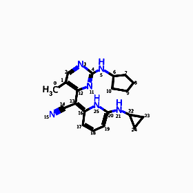 Cc1cnc(NC2CCCC2)nc1/C(C#N)=C1/C=CC=C(NC2CC2)N1